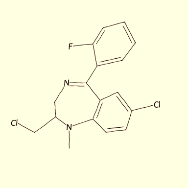 CN1c2ccc(Cl)cc2C(c2ccccc2F)=NCC1CCl